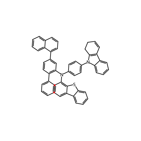 C1=Cc2c(n(-c3ccc(N(c4cc(-c5cccc6ccccc56)ccc4-c4ccccc4)c4cccc5c4sc4ccccc45)cc3)c3ccccc23)CC1